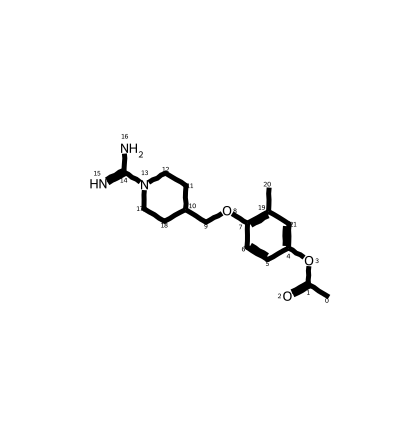 CC(=O)Oc1ccc(OCC2CCN(C(=N)N)CC2)c(C)c1